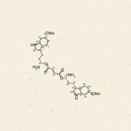 COc1ccc2c(CC[C@@H](N)OC(=O)/C=C/C(=O)O[C@H](N)CCc3c[nH]c4cc(OC)ccc34)c[nH]c2c1